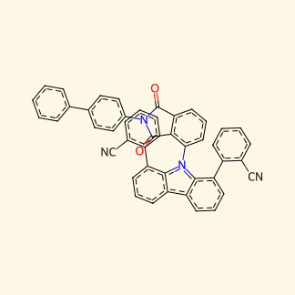 N#Cc1ccccc1-c1cccc2c3cccc(-c4ccccc4C#N)c3n(-c3cccc4c3C(=O)N(c3ccc(-c5ccccc5)cc3)C4=O)c12